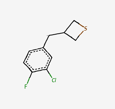 Fc1ccc([CH]C2CSC2)cc1Cl